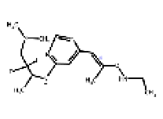 CCNO/C(C)=C/c1cc(NC(C)C(F)(F)CN(C)C)ncn1